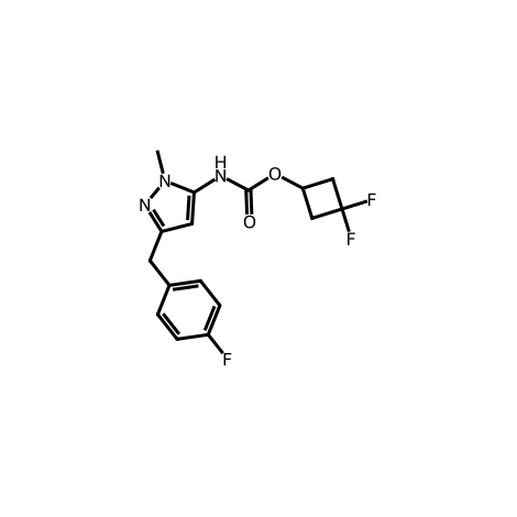 Cn1nc(Cc2ccc(F)cc2)cc1NC(=O)OC1CC(F)(F)C1